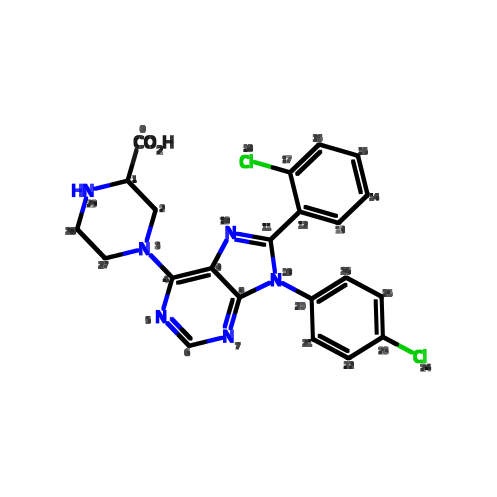 O=C(O)C1CN(c2ncnc3c2nc(-c2ccccc2Cl)n3-c2ccc(Cl)cc2)CCN1